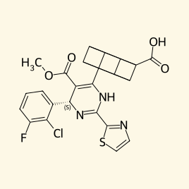 COC(=O)C1=C(C23C4C5C2C2C3C4C52C(=O)O)NC(c2nccs2)=N[C@@H]1c1cccc(F)c1Cl